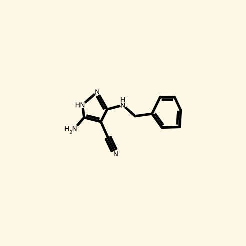 N#Cc1c(NCc2ccccc2)n[nH]c1N